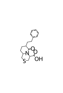 O=C(O)C1CSCC2CCC(CCc3ccccc3)C(=O)N21